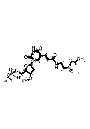 CC(C)OC1CC(n2cc(/C=C/C(=O)NCCN(C)CCN)c(=O)[nH]c2=O)OC1COP(=O)(O)OC(C)C